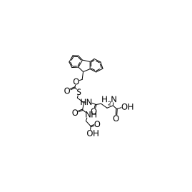 NC(CCC(=O)NC(CSC(=O)OCC1c2ccccc2-c2ccccc21)C(=O)NCC(=O)O)C(=O)O